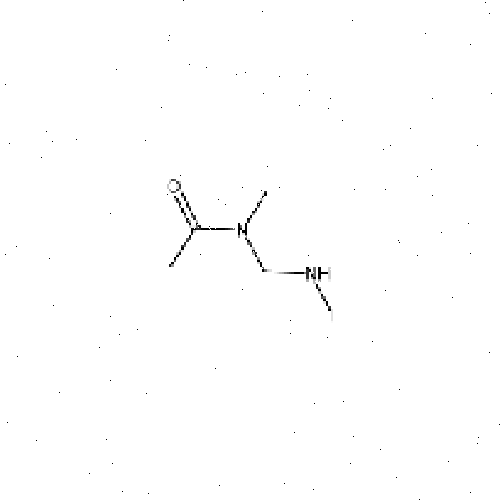 CC(=O)N(C)CNI